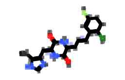 CC(C)(C)c1[nH]cnc1/C=c1\[nH]c(=O)/c(=C/C=C/C2=C(Cl)CCC(F)=C2)[nH]c1=O